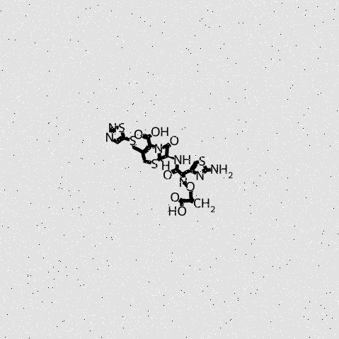 C=C(O/N=C(/C(=O)N[C@@H]1C(=O)N2C(C(=O)O)=C(CSc3cnns3)CS[C@H]12)c1csc(N)n1)C(=O)O